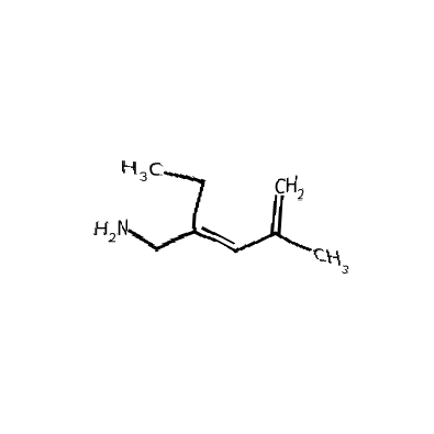 C=C(C)/C=C(\CC)CN